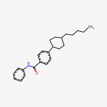 CCCCCC1CCC(c2ccc(C(=O)Nc3cc[c]cc3)cc2)CC1